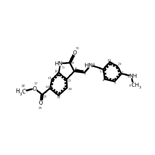 CNc1ccc(N/C=C2\C(=O)Nc3cc(C(=O)OC)ccc32)cc1